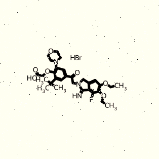 Br.CCOc1cc2c(c(F)c1OCC)C(=N)N(CC(=O)c1cc(N3CCOCC3)c(OCC(=O)O)c(C(C)(C)C)c1)C2